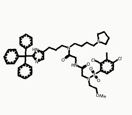 COCCN(CC(=O)NCC(=O)N(CCCCN1CCCC1)CCCc1cnc(C(c2ccccc2)(c2ccccc2)c2ccccc2)[nH]1)S(=O)(=O)c1ccc(Cl)c(C)c1Cl